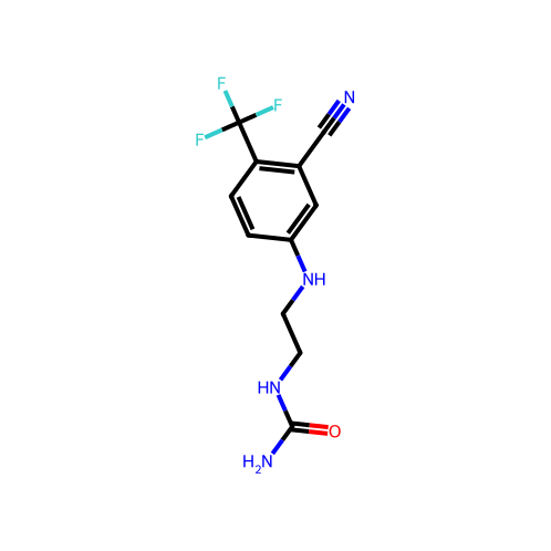 N#Cc1cc(NCCNC(N)=O)ccc1C(F)(F)F